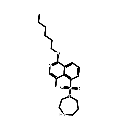 CCCCCCOc1ncc(C)c2c(S(=O)(=O)N3CCCNCC3)cccc12